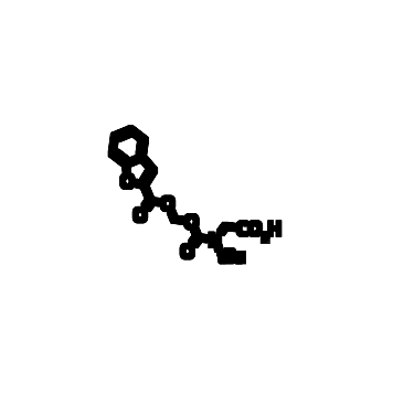 CC(C)(C)N(CC(=O)O)C(=O)OCOC(=O)c1cc2ccccc2o1